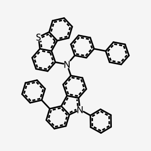 c1ccc(-c2cccc(N(c3ccc4c(c3)c3c(-c5ccccc5)cccc3n4-c3ccccc3)c3cccc4sc5ccccc5c34)c2)cc1